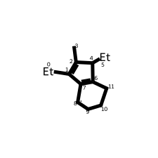 CCC1=C(C)C(CC)C2=C1[C]CCC2